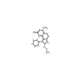 CCCc1oc2ccc3c(C)cc(=O)oc3c2c1-c1ccccc1